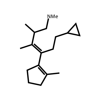 CNCC(C)/C(C)=C(\CCC1CC1)C1=C(C)CCC1